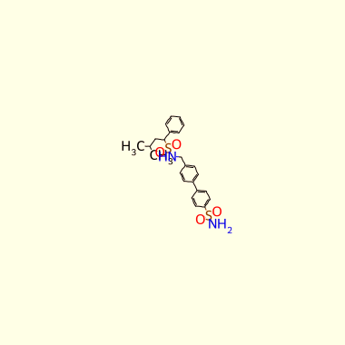 CC(C)CC(c1ccccc1)S(=O)(=O)NCc1ccc(-c2ccc(S(N)(=O)=O)cc2)cc1